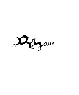 COC(=O)Cc1nc(-c2ccc(C)c(Cl)c2)cs1